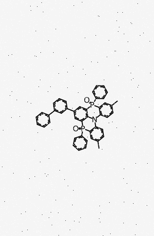 Cc1ccc2c(c1)P(=O)(c1ccccc1)c1cc(-c3cccc(-c4ccccc4)c3)cc3c1N2c1ccc(C)cc1P3(=O)c1ccccc1